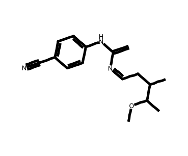 C=C(/N=C\CC(C)C(C)OC)Nc1ccc(C#N)cc1